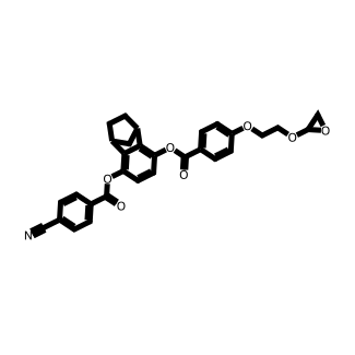 N#Cc1ccc(C(=O)Oc2ccc(OC(=O)c3ccc(OCCOC4CO4)cc3)c3c2C2CCC3C2)cc1